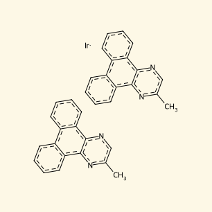 Cc1cnc2c3ccccc3c3ccccc3c2n1.Cc1cnc2c3ccccc3c3ccccc3c2n1.[Ir]